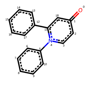 O=c1ccn(-c2ccccc2)c(-c2ccccc2)c1